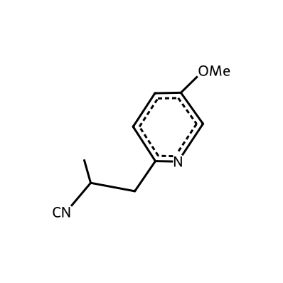 [C-]#[N+]C(C)Cc1ccc(OC)cn1